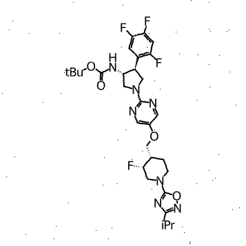 CC(C)c1noc(N2CC[C@@H](COc3cnc(N4C[C@H](NC(=O)OC(C)(C)C)[C@@H](c5cc(F)c(F)cc5F)C4)nc3)[C@@H](F)C2)n1